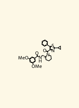 COc1cc(OC)cc(C(=O)NC[C@@H]2CCCCN2C(=O)c2nc(C3CC3)sc2-c2ccccc2)c1